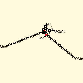 CCc1ccc2c(c1)C(Cc1cc(OCCOCCOC)cc(OCCOCCOC)c1)(Cc1cc(OCCOCCOCCOCCOCCOCCOCCOCCOCCOCCOCCOC)cc(OCCOCCOCCOCCOCCOCCOCCOCCOCCOCCOCCOC)c1)c1cc(C)ccc1-2